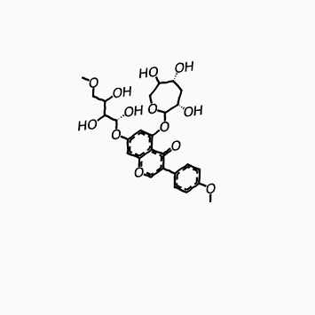 COCC(O)C(O)[C@H](O)Oc1cc(OC2OCC(O)[C@H](O)C[C@@H]2O)c2c(=O)c(-c3ccc(OC)cc3)coc2c1